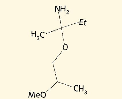 CCC(C)(N)OCC(C)OC